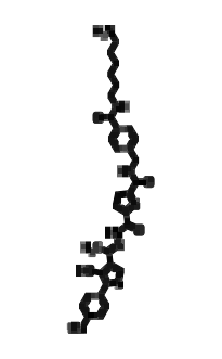 C/C(=N\NC(=O)c1ccc(C(=O)NCc2ccc(C(=O)NCCCCCCN)cc2)s1)c1csc(-c2ccc(C(C)(C)C)cc2)c1O